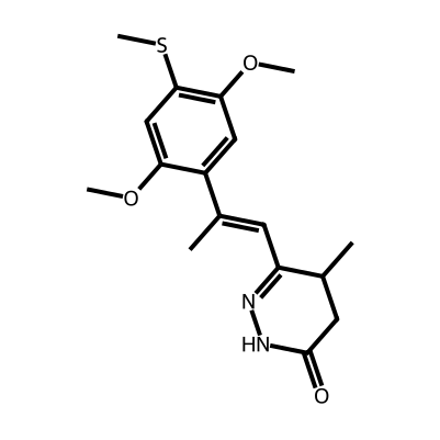 COc1cc(C(C)=CC2=NNC(=O)CC2C)c(OC)cc1SC